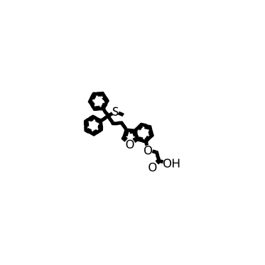 CSC(CCc1coc2c(OCC(=O)O)cccc12)(c1ccccc1)c1ccccc1